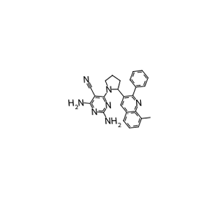 Cc1cccc2cc(C3CCCN3c3nc(N)nc(N)c3C#N)c(-c3ccccc3)nc12